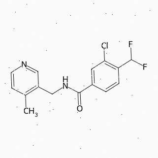 Cc1ccncc1CNC(=O)c1ccc(C(F)F)c(Cl)c1